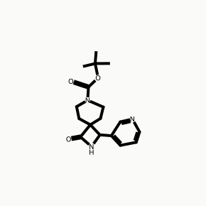 CC(C)(C)OC(=O)N1CCC2(CC1)C(=O)NC2c1cccnc1